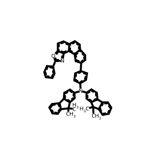 CC1(C)c2ccccc2-c2ccc(N(c3ccc(-c4ccc5ccc6ccc7oc(-c8ccccc8)nc7c6c5c4)cc3)c3ccc4c(c3)C(C)(C)c3ccccc3-4)cc21